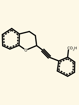 O=C(O)c1ccccc1C#CC1CCc2ccccc2O1